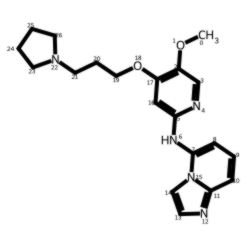 COc1cnc(Nc2cccc3nccn23)cc1OCCCN1CCCC1